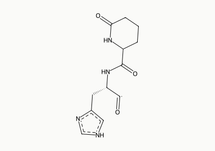 O=[C][C@H](Cc1c[nH]cn1)NC(=O)C1CCCC(=O)N1